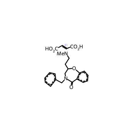 CNCCC1CN(Cc2ccccc2)C(=O)c2ccccc2O1.O=C(O)/C=C/C(=O)O